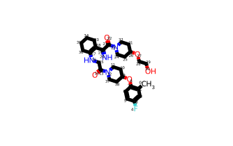 Cc1cc(F)ccc1OC1CCN(C(=O)CNC2=C(C(=N)C(=O)N3CCC(OCCO)CC3)CCCC2)CC1